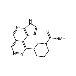 CNC(=O)N1CCCC(c2nncc3cnc4[nH]ccc4c23)C1